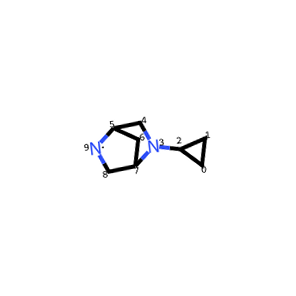 C1CC1N1CC2CC1C[N]2